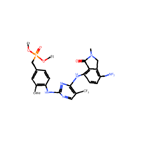 CCOP(=O)(Cc1ccc(Nc2ncc(C(F)(F)F)c(Nc3ccc(N)c4c3C(=O)N(C)C4)n2)c(OC)c1)OCC